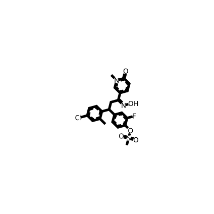 Cc1cc(Cl)ccc1C(CC(=NO)c1ccc(=O)n(C)c1)c1ccc(OS(C)(=O)=O)c(F)c1